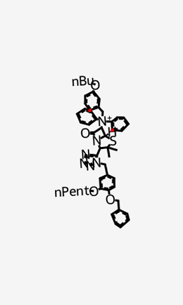 CCCCCOc1cc(Cn2nnnc2C2N3C(=O)C([N+](Cc4cccc(OCCCC)c4)(c4ccccc4)c4ccccc4)[C@@H]3SC2(C)C)ccc1OCc1ccccc1